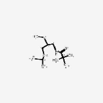 COC(CNC(=O)C(C)(C)C)COC(C)C